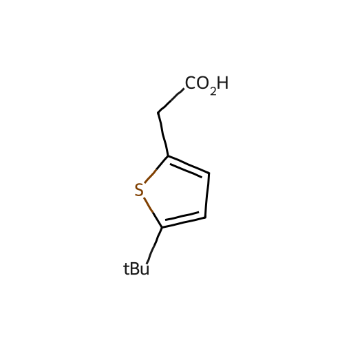 CC(C)(C)c1ccc(CC(=O)O)s1